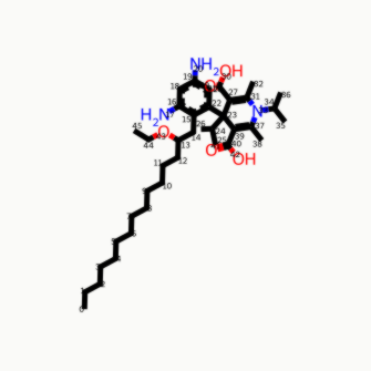 CCCCCCCCCCCCCC(Cc1c(N)cc(N)cc1C1(C(C)C)C(C(=O)O)=C(C)N(C(C)C)C(C)=C1C(=O)O)OCC